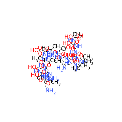 CC[C@H](C)[C@H](NC(=O)[C@H](CCC(=O)O)NC(=O)[C@H](C)NC(=O)CNC(=O)[C@H](Cc1c[nH]cn1)NC(=O)[C@H](CC(=O)O)NC(=O)[C@@H](NC(=O)[C@H](CCCCN)NC(=O)[C@H](C)N)[C@@H](C)O)C(=O)N[C@H](C(=O)N[C@@H](Cc1ccc(O)cc1)C(=O)N[C@@H](CCCCN)C(=O)N[C@@H](CO)C(=O)N1CCC[C@H]1C(=O)N[C@H](C(=O)N[C@H](C(=O)N[C@@H](CO)C(=O)NCC(=O)N[C@@H](CC(=O)O)C(=O)N[C@H](C(=O)O)[C@@H](C)O)C(C)C)C(C)C)C(C)C